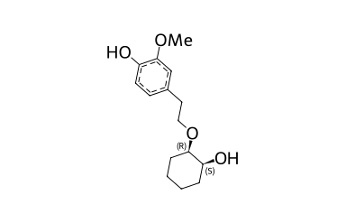 COc1cc(CCO[C@@H]2CCCC[C@@H]2O)ccc1O